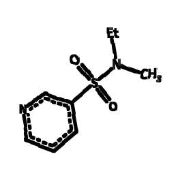 CCN(C)S(=O)(=O)c1cccnc1